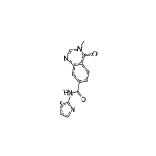 Cn1cnc2cc(C(=O)Nc3nccs3)ccc2c1=O